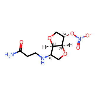 NC(=O)CCN[C@@H]1CO[C@H]2[C@@H]1OC[C@@H]2O[N+](=O)[O-]